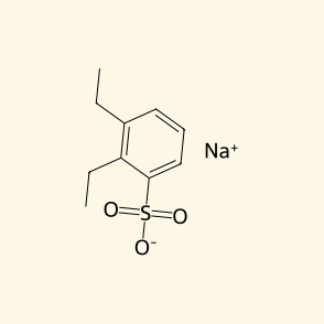 CCc1cccc(S(=O)(=O)[O-])c1CC.[Na+]